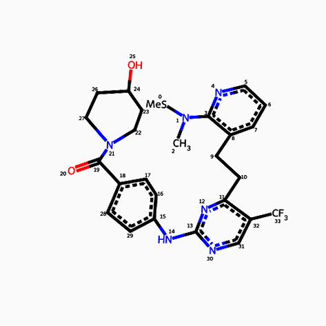 CSN(C)c1ncccc1CCc1nc(Nc2ccc(C(=O)N3CCC(O)CC3)cc2)ncc1C(F)(F)F